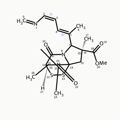 C=N/C=C\C=C(/C)C1N2C(=O)C3SSC2(C[C@]1(C)C(=O)OC)C(=O)N(C)[C@H]3C